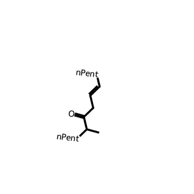 CCCCCC=CCC(=O)C(C)CCCCC